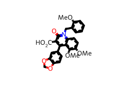 COc1ccccc1Cn1c(=O)c(C(=O)O)c(-c2ccc3c(c2)OCO3)c2c(OC)c(OC)ccc21